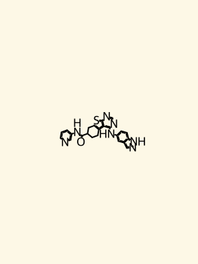 O=C(Nc1cccnc1)C1CCc2c(sc3ncnc(Nc4ccc5[nH]ncc5c4)c23)C1